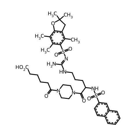 Cc1c(C)c(S(=O)(=O)N=C(N)NCCCC(NS(=O)(=O)c2ccc3ccccc3c2)C(=O)N2CCN(C(=O)CCCCC(=O)O)CC2)c(C)c2c1OC(C)(C)C2